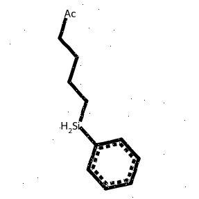 CC(=O)CCCC[SiH2]c1ccccc1